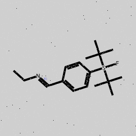 CC/N=C/c1ccc(S(F)(C(C)(C)C)C(C)(C)C)cc1